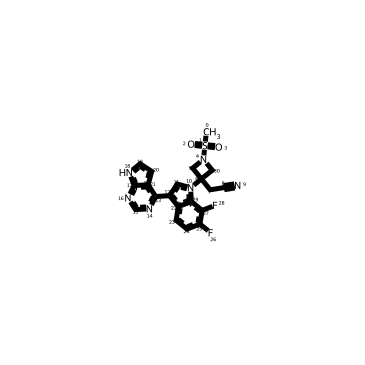 CS(=O)(=O)N1CC(CC#N)(n2cc(-c3ncnc4[nH]ccc34)c3ccc(F)c(F)c32)C1